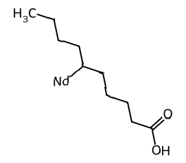 CCCC[CH]([Nd])CCCCC(=O)O